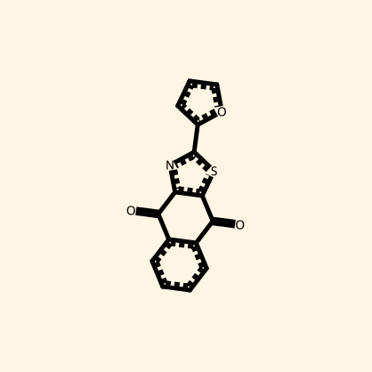 O=C1c2ccccc2C(=O)c2sc(-c3ccco3)nc21